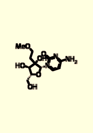 COCC[C@@]1(O)[C@H](O)[C@@H](CO)O[C@H]1n1ccc(N)nc1=O